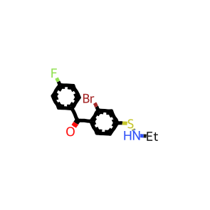 CCNSc1ccc(C(=O)c2ccc(F)cc2)c(Br)c1